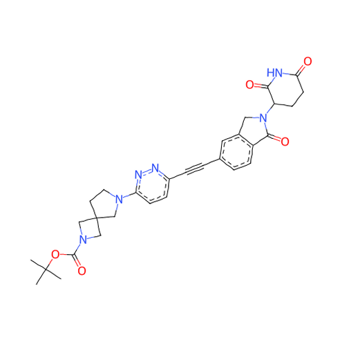 CC(C)(C)OC(=O)N1CC2(CCN(c3ccc(C#Cc4ccc5c(c4)CN(C4CCC(=O)NC4=O)C5=O)nn3)C2)C1